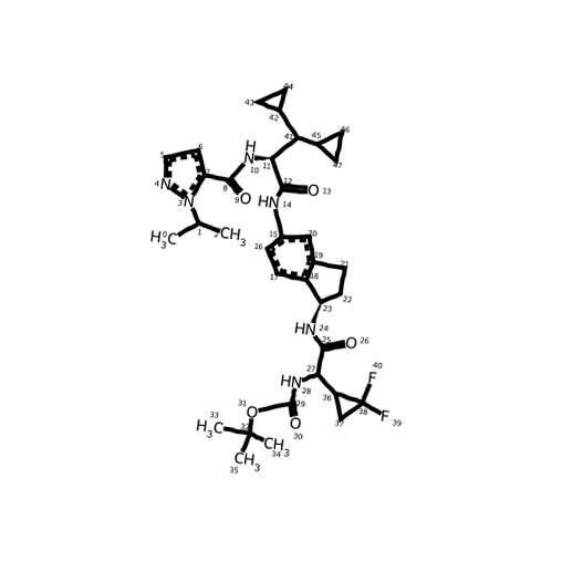 CC(C)n1nccc1C(=O)N[C@H](C(=O)Nc1ccc2c(c1)CC[C@H]2NC(=O)C(NC(=O)OC(C)(C)C)C1CC1(F)F)C(C1CC1)C1CC1